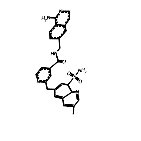 CC1=CC2=CC(Cc3cc(C(=O)NCc4ccc5c(N)nccc5c4)ccn3)=CC(S(N)(=O)=O)C2N=C1